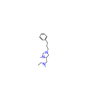 CCN(C)CC1CN(CCCc2ccccc2)CN1C